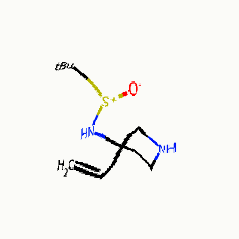 C=CC1(N[S+]([O-])C(C)(C)C)CNC1